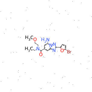 CCN(CCOC)C(=O)c1cc(N)n2nc(-c3ccc(Br)o3)nc2c1